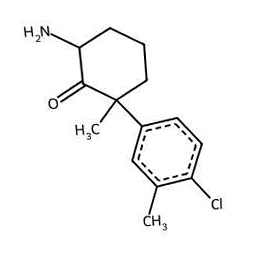 Cc1cc(C2(C)CCCC(N)C2=O)ccc1Cl